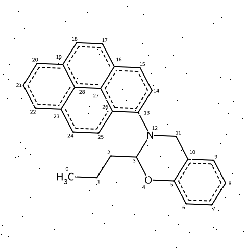 CCCC1Oc2ccccc2CN1c1ccc2ccc3cccc4ccc1c2c34